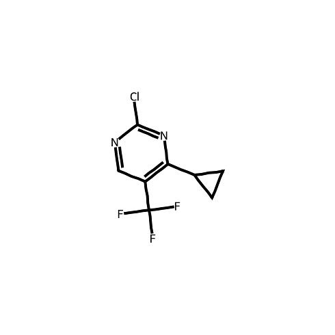 FC(F)(F)c1cnc(Cl)nc1C1CC1